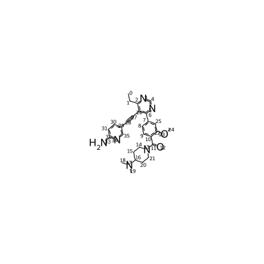 CCc1ncnc(-c2ccc(C(=O)N3CCC(N(C)C)CC3)c(OC)c2)c1C#Cc1ccc(N)nc1